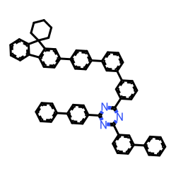 c1ccc(-c2ccc(-c3nc(-c4cccc(-c5ccccc5)c4)nc(-c4cccc(-c5cccc(-c6ccc(-c7ccc8c(c7)C7(CCCCC7)c7ccccc7-8)cc6)c5)c4)n3)cc2)cc1